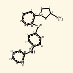 NC1CCN(c2cccnc2Oc2ccc(Nc3ccccn3)cc2)C1